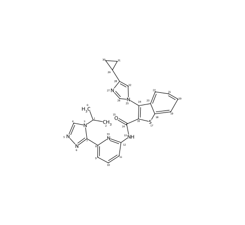 CC(C)n1cnnc1-c1cccc(NC(=O)c2sc3ccccc3c2-n2cnc(C3CC3)c2)n1